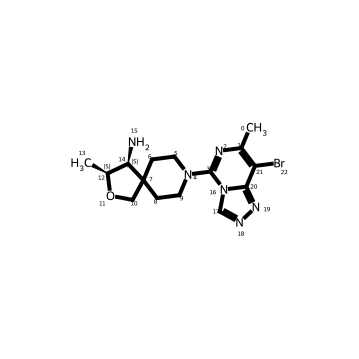 Cc1nc(N2CCC3(CC2)CO[C@@H](C)[C@H]3N)n2cnnc2c1Br